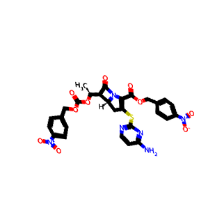 C[C@@H](OC(=O)OCc1ccc([N+](=O)[O-])cc1)C1C(=O)N2C(C(=O)OCc3ccc([N+](=O)[O-])cc3)=C(Sc3nccc(N)n3)C[C@@H]12